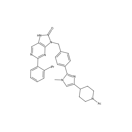 CC(=O)N1CCC(c2cn(C)c(-c3ccc(Cn4c(=O)[nH]c5cnc(-c6ccccc6C(C)C)nc54)cc3)n2)CC1